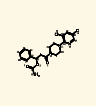 NC(=O)OC(CC(=O)N1CCN(c2ncc(Cl)cc2Cl)CC1)c1ccccc1